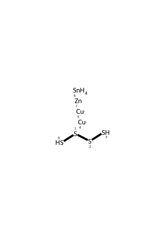 SSSS.[Cu].[Cu].[SnH4].[Zn]